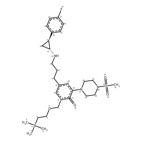 C[Si](C)(C)CCOCn1cc(CCCN[C@@H]2C[C@H]2c2ccc(F)cc2)nc(N2CCN(S(C)(=O)=O)CC2)c1=O